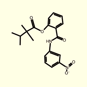 CC(C)C(C)(C)C(=O)Oc1ccccc1C(=O)Nc1cccc([N+](=O)[O-])c1